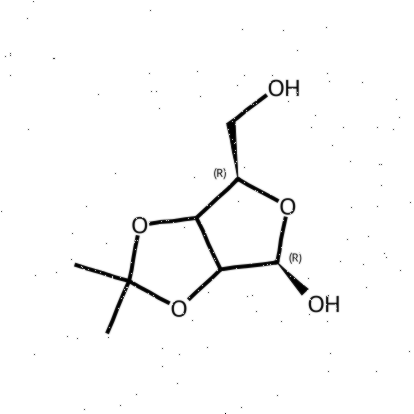 CC1(C)OC2C(O1)[C@@H](CO)O[C@H]2O